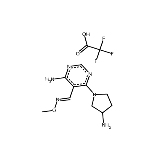 CON=Cc1c(N)ncnc1N1CCC(N)C1.O=C(O)C(F)(F)F